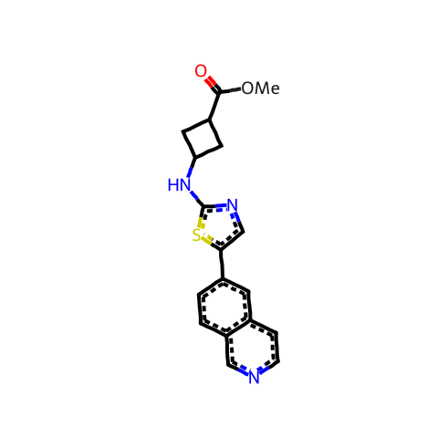 COC(=O)C1CC(Nc2ncc(-c3ccc4cnccc4c3)s2)C1